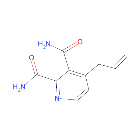 C=CCc1ccnc(C(N)=O)c1C(N)=O